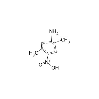 Cc1cc([N+](=O)O)c(C)cc1N